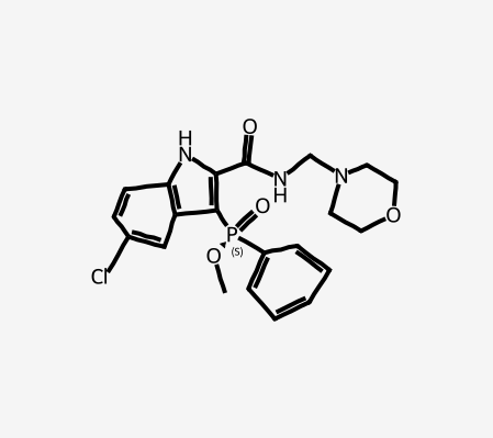 CO[P@@](=O)(c1ccccc1)c1c(C(=O)NCN2CCOCC2)[nH]c2ccc(Cl)cc12